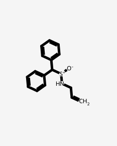 C=CCN[S+]([O-])C(c1ccccc1)c1ccccc1